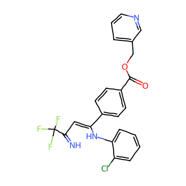 N=C(/C=C(\Nc1ccccc1Cl)c1ccc(C(=O)OCc2cccnc2)cc1)C(F)(F)F